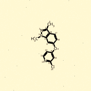 Cc1nn(C)c2cc(Oc3ccnc(Cl)c3)ccc12